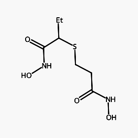 CCC(SCCC(=O)NO)C(=O)NO